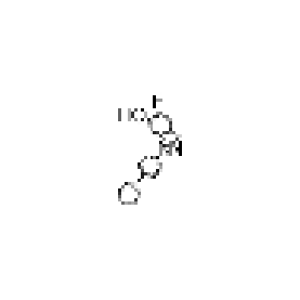 Oc1cc2c(cnn2-c2ccc(-c3ccccc3)cc2)cc1F